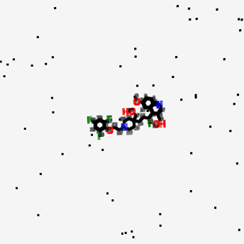 COc1ccc2ncc(CO)c([C@H](F)CCC3(CO)CCN(CCOc4c(F)cc(F)cc4F)CC3)c2c1